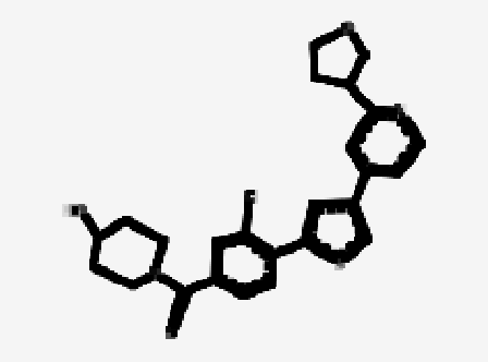 O=C(c1ccc(-c2cc(-c3ccnc(C4CCOC4)c3)cs2)c(Cl)c1)N1CCC(O)CC1